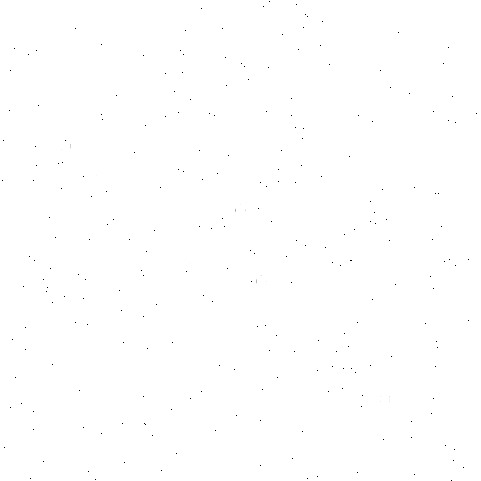 CCOc1ccc(C(C(=O)OCC#CC(C)=O)C(C)C)cc1